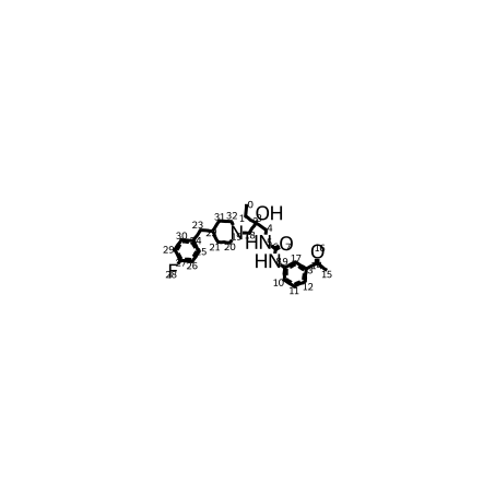 CC[C@](O)(CNC(=O)Nc1cccc(C(C)=O)c1)CN1CCC(Cc2ccc(F)cc2)CC1